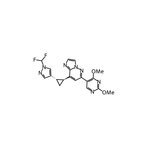 COc1ncc(-c2cc([C@H]3C[C@@H]3c3cnn(C(F)F)c3)c3nccn3n2)c(OC)n1